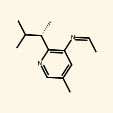 C/C=N\c1cc(C)cnc1[C@@H](C)C(C)C